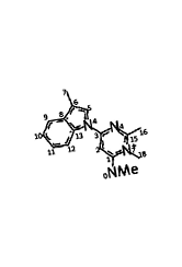 CNc1cc(-n2cc(C)c3ccccc32)nc(C)[n+]1C